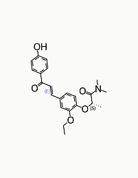 CCOc1cc(/C=C/C(=O)c2ccc(O)cc2)ccc1O[C@@H](C)C(=O)N(C)C